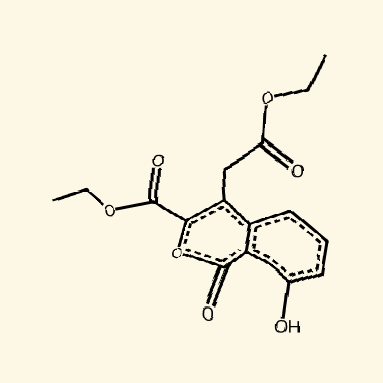 CCOC(=O)Cc1c(C(=O)OCC)oc(=O)c2c(O)cccc12